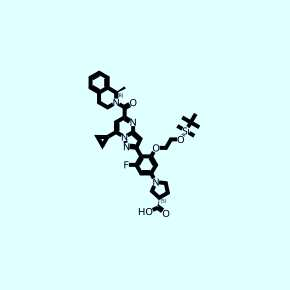 C[C@@H]1c2ccccc2CCN1C(=O)c1cc(C2CC2)n2nc(-c3c(F)cc(N4CC[C@H](C(=O)O)C4)cc3OCCO[Si](C)(C)C(C)(C)C)cc2n1